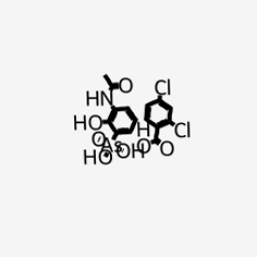 CC(=O)Nc1cccc([As](=O)(O)O)c1O.O=C(O)c1ccc(Cl)cc1Cl